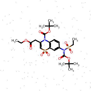 CCOC(=O)CC1=CS(=O)(=O)c2cc(N(C(=O)OC(C)(C)C)S(=O)(=O)CC)ccc2N1C(=O)OC(C)(C)C